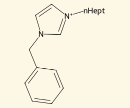 CCCCCCC[n+]1ccn(Cc2ccccc2)c1